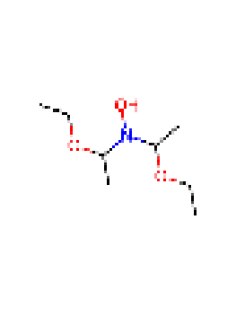 CCOC(C)N(O)C(C)OCC